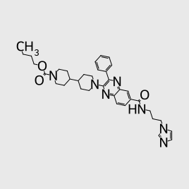 CCCCOC(=O)N1CCC(C2CCN(c3nc4ccc(C(=O)NCCCn5ccnc5)cc4nc3-c3ccccc3)CC2)CC1